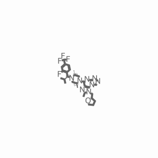 Cc1nc2c(N3C[C@@H](C)N([C@H](c4ccc(C(F)(F)F)cc4F)C(C)C)C[C@@H]3C)nc3nncn3c2n1CC1CCCO1